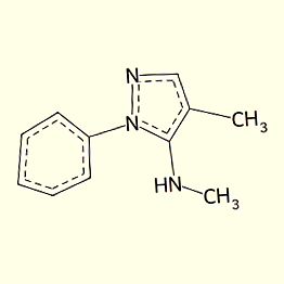 CNc1c(C)cnn1-c1ccccc1